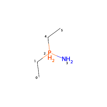 CC[PH2](N)CC